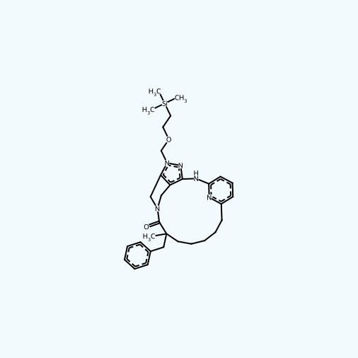 CC1(Cc2ccccc2)CCCCCc2cccc(n2)Nc2nn(COCC[Si](C)(C)C)c3c2CN(C3)C1=O